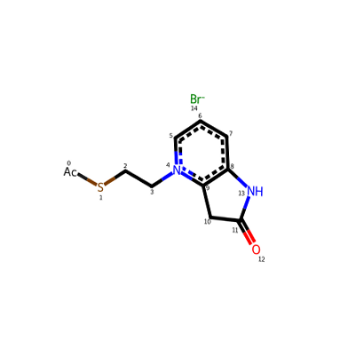 CC(=O)SCC[n+]1cccc2c1CC(=O)N2.[Br-]